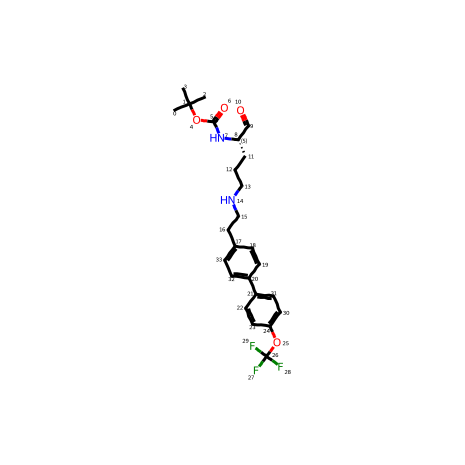 CC(C)(C)OC(=O)N[C@H](C=O)CCCNCCc1ccc(-c2ccc(OC(F)(F)F)cc2)cc1